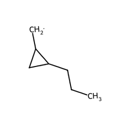 [CH2]C1CC1CCC